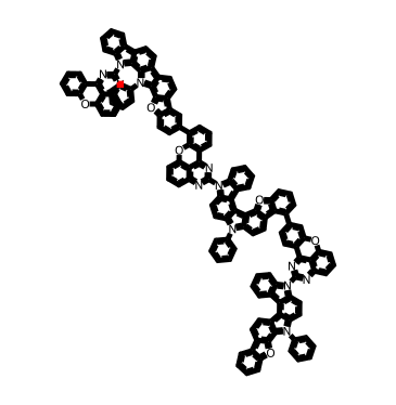 c1ccc(-n2c3ccc4c(oc5cccc(-c6ccc7c(c6)Oc6cccc8nc(-n9c%10ccccc%10c%10c%11c%12ccc%13c%14ccccc%14oc%13c%12n(-c%12ccccc%12)c%11ccc%109)nc-7c68)c54)c3c3c4c5ccccc5n(-c5nc6c7c(cccc7n5)Oc5c(-c7ccc8oc9c(ccc%10c%11ccc%12c%13ccccc%13n(-c%13nc%14c%15c(cccc%15n%13)Oc%13ccccc%13-%14)c%12c%11n(-c%11ccccc%11)c%109)c8c7)cccc5-6)c4ccc32)cc1